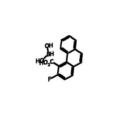 O=C(O)c1c(F)ccc2ccc3ccccc3c12.OBO